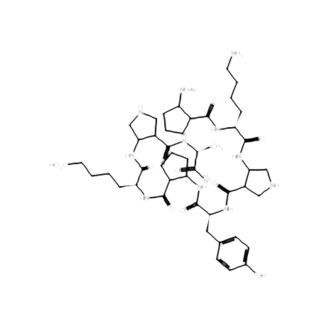 CC(=O)NC1CCCC1C(=O)N[C@@H](CCCCN)C(=O)NC1CNCC1C(=O)N[C@@H](Cc1ccc(O)cc1)C(=O)NC1CCCC1C(=O)N[C@@H](CCCCC(=O)O)C(=O)NC1CNCC1C(=O)N[C@@H](C)C(N)=O